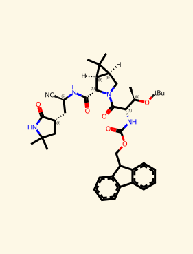 C[C@@H](OC(C)(C)C)[C@H](NC(=O)OCC1c2ccccc2-c2ccccc21)C(=O)N1C[C@H]2[C@@H]([C@H]1C(=O)N[C@H](C#N)C[C@@H]1CC(C)(C)NC1=O)C2(C)C